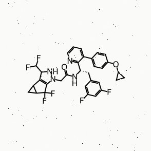 O=C(CN1NC(C(F)F)C2=C1C(F)(F)C1CC21)N[C@@H](Cc1cc(F)cc(F)c1)c1ncccc1-c1ccc(OC2CC2)cc1